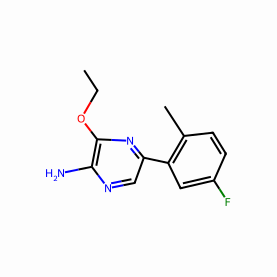 CCOc1nc(-c2cc(F)ccc2C)cnc1N